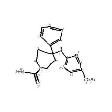 CCOC(=O)c1cnc(NC2(c3ccccc3)CCN(C(=O)NC)CC2)nc1